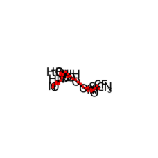 CC(C)(C)[C@H](NC(=O)COCCCOCCCCCOc1ccc(N2C(=S)N(c3ccc(C#N)c(C(F)(F)F)c3)C(=O)C2(C)C)cc1)C(=O)N1C[C@H](O)C[C@H]1C(=O)NCc1ccc(-c2cnco2)cc1